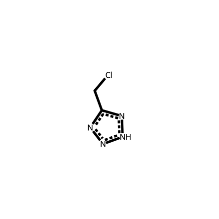 ClCc1nn[nH]n1